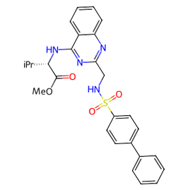 COC(=O)[C@@H](Nc1nc(CNS(=O)(=O)c2ccc(-c3ccccc3)cc2)nc2ccccc12)C(C)C